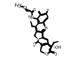 CCc1c2c(nc3cc(F)c(C)c(NC(=O)COS)c13)-c1cc3c(c(=O)n1C2)COC(=O)[C@]3(O)CC